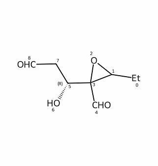 CCC1OC1(C=O)[C@H](O)CC=O